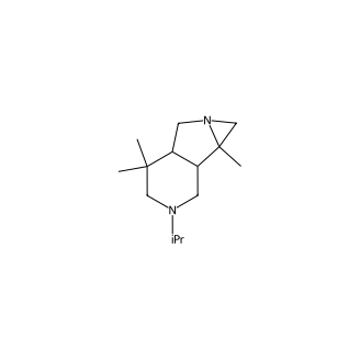 CC(C)N1CC2C(CN3CC23C)C(C)(C)C1